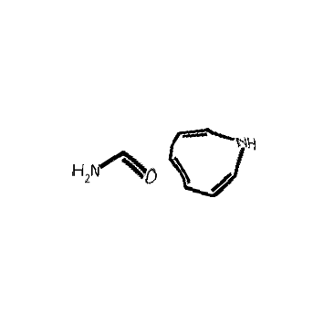 C1=CC=CNC=C1.NC=O